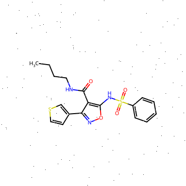 CCCCNC(=O)c1c(-c2ccsc2)noc1NS(=O)(=O)c1ccccc1